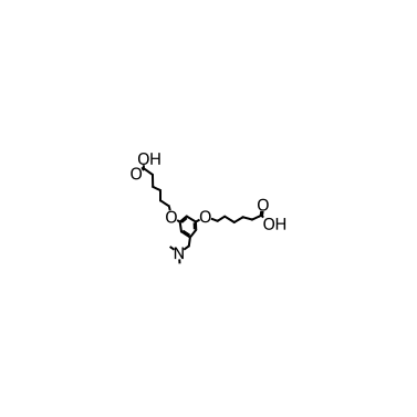 CN(C)Cc1cc(OCCCCCC(=O)O)cc(OCCCCCC(=O)O)c1